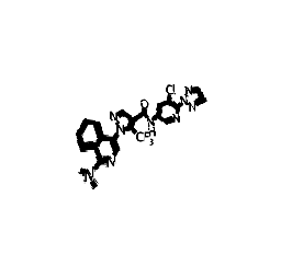 CN(C)c1ncc(-n2ncc(C(=O)Nc3cnc(-n4nccn4)c(Cl)c3)c2C(F)(F)F)c2ccccc12